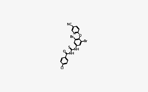 N#Cc1ccc(Oc2c(Br)cc(NC(=S)NC(=O)c3ccc(Cl)cc3)cc2Br)nc1